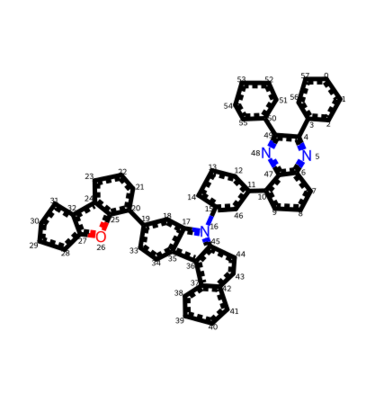 c1ccc(-c2nc3cccc(-c4cccc(-n5c6cc(-c7cccc8c7oc7ccccc78)ccc6c6c7ccccc7ccc65)c4)c3nc2-c2ccccc2)cc1